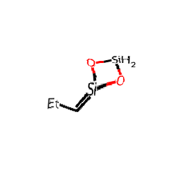 CCC=[Si]1O[SiH2]O1